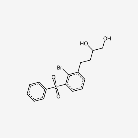 O=S(=O)(c1ccccc1)c1cccc(CCC(O)CO)c1Br